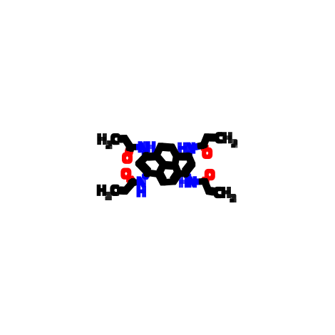 C=CC(=O)Nc1cc(NC(=O)C=C)c2ccc3c(NC(=O)C=C)cc(NC(=O)C=C)c4ccc1c2c43